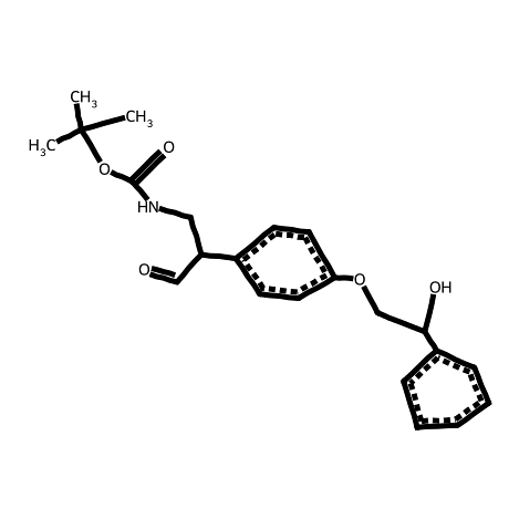 CC(C)(C)OC(=O)NCC(C=O)c1ccc(OCC(O)c2ccccc2)cc1